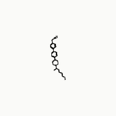 CCCCCCC(C)C1CCC(c2ccc(-c3ccc(CC#N)cc3)cc2)CC1